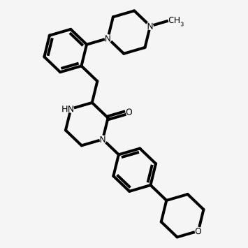 CN1CCN(c2ccccc2CC2NCCN(c3ccc(C4CCOCC4)cc3)C2=O)CC1